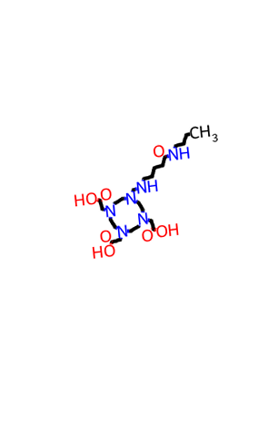 CCCCNC(=O)CCCCNCN1CCN(CC(=O)O)CCN(CC(=O)O)CCN(CC(=O)O)CC1